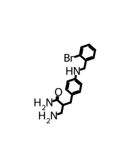 NCC(Cc1ccc(NCc2ccccc2Br)cc1)C(N)=O